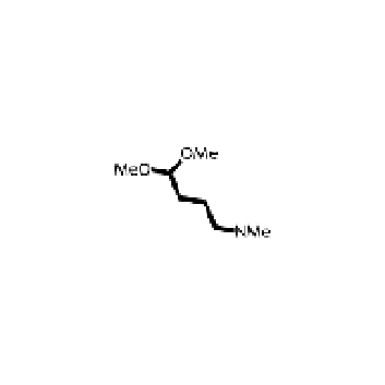 CNCCCC(OC)OC